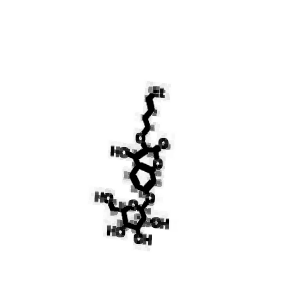 CCC=CCCOc1c(O)c2ccc(O[C@@H]3O[C@H](CO)[C@@H](O)[C@H](O)[C@H]3O)cc2oc1=O